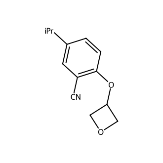 CC(C)c1ccc(OC2COC2)c(C#N)c1